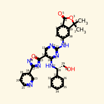 CC1(C)OC(=O)c2ccc(Nc3ncc(-c4nc(-c5cccnc5)no4)c(N[C@H](CO)c4ccccc4)n3)cc21